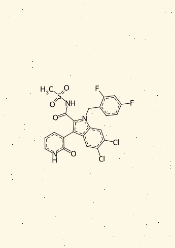 CS(=O)(=O)NC(=O)c1c(-c2ccc[nH]c2=O)c2cc(Cl)c(Cl)cc2n1Cc1ccc(F)cc1F